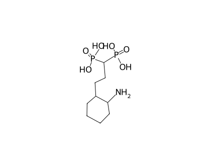 NC1CCCCC1CCC(P(=O)(O)O)P(=O)(O)O